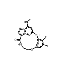 CNc1cc2nc3c(cnn13)C(=O)NCCOc1cc(F)c(F)c(n1)N2